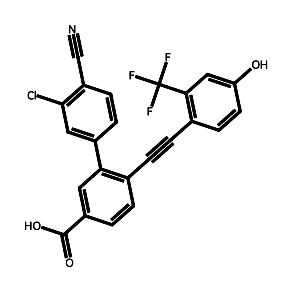 N#Cc1ccc(-c2cc(C(=O)O)ccc2C#Cc2ccc(O)cc2C(F)(F)F)cc1Cl